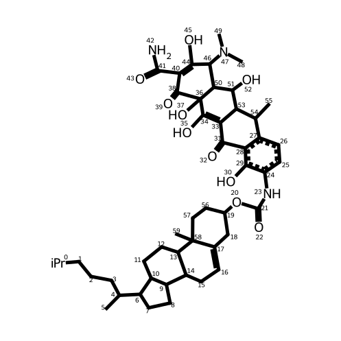 CC(C)CCCC(C)C1CCC2C1CCC1C2CC=C2CC(OC(=O)Nc3ccc4c(c3O)C(=O)C3=C(O)C5(O)C(=O)C(C(N)=O)=C(O)C(N(C)C)C5C(O)C3C4C)CCC21C